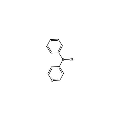 OB(c1ccccc1)c1ccncc1